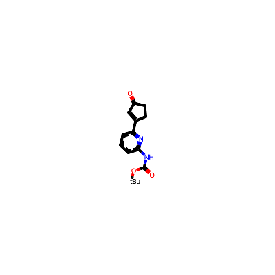 CC(C)(C)OC(=O)Nc1cccc(C2=CC(=O)CC2)n1